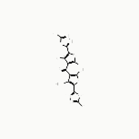 Cc1[nH]c(-c2nnc(C(C)C)o2)c(C)c1C(=O)c1c(C)[nH]c(-c2nnc(C(C)C)o2)c1C